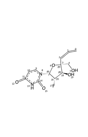 C=C=C[C@]1(CO)O[C@@H](n2ccc(=O)[nH]c2=O)[C@@H](F)[C@@H]1O